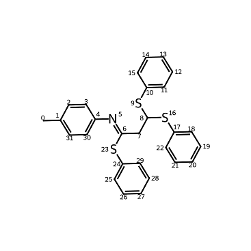 Cc1ccc(N=C(CC(Sc2ccccc2)Sc2ccccc2)Sc2ccccc2)cc1